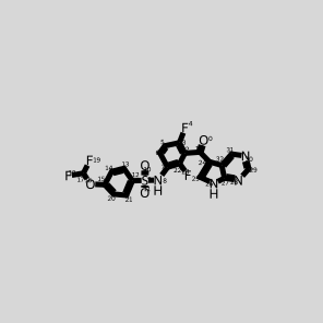 O=C(c1c(F)ccc(NS(=O)(=O)c2ccc(OC(F)F)cc2)c1F)c1c[nH]c2ncncc12